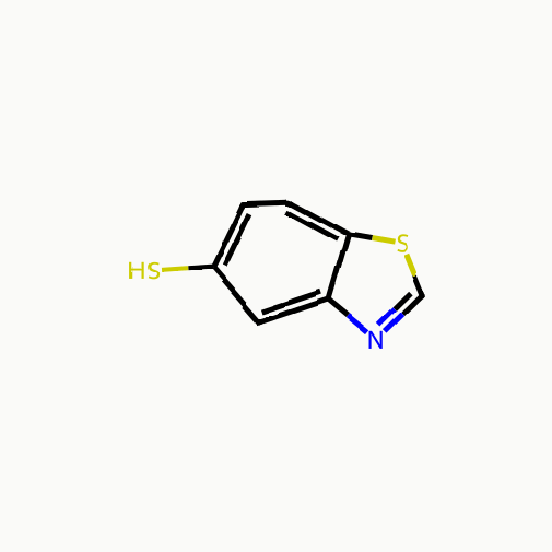 Sc1ccc2scnc2c1